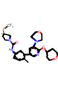 Cc1ccc(NC(=O)N2CC[C@@H](SC(F)(F)F)C2)cc1-c1cnc(OC2CCOCC2)c(N2CCOCC2)c1